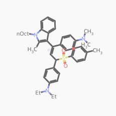 CCCCCCCCn1c(C)c(/C(=C/C(c2ccc(N(CC)CC)cc2)S(=O)(=O)c2ccc(C)cc2)c2ccc(N(C)C)cc2)c2ccccc21